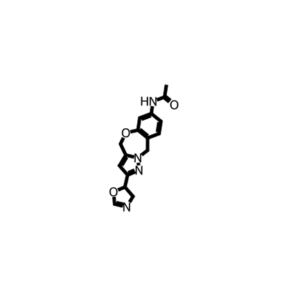 CC(=O)Nc1ccc2c(c1)OCc1cc(C3CN=CO3)nn1C2